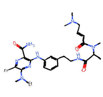 CCc1nc(C(N)=O)c(Nc2cccc(CCNC(=O)C(C)N(C)C(=O)C=CCN(C)C)c2)nc1N(C)CC